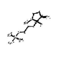 C=C1CCN(C(C)(C)C)C1(CC)CCCO[Si](C)(C)C(C)(C)C